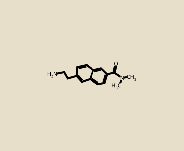 CN(C)C(=O)c1ccc2cc(CCN)ccc2c1